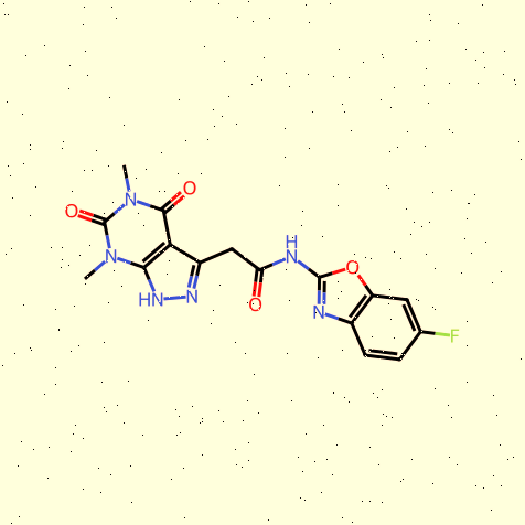 Cn1c(=O)c2c(CC(=O)Nc3nc4ccc(F)cc4o3)n[nH]c2n(C)c1=O